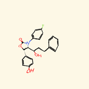 O=C1O[C@@H](c2ccc(O)cc2)[C@@H]([C@H](O)CCc2ccccc2)N1c1ccc(F)cc1